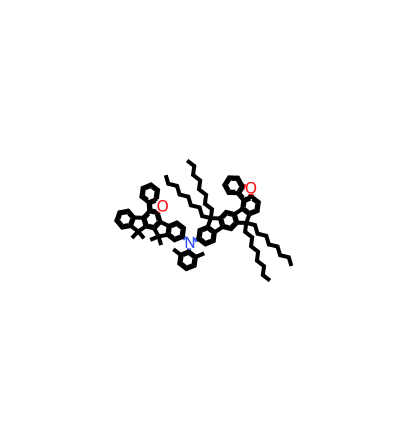 CCCCCCCCC1(CCCCCCCC)c2cc(N(c3ccc4c(c3)C(C)(C)c3c5c(c6c(oc7ccccc76)c3-4)-c3ccccc3C5(C)C)c3c(C)cccc3C)ccc2-c2cc3c(cc21)-c1c(ccc2oc4ccccc4c12)C3(CCCCCCCC)CCCCCCCC